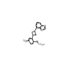 O=C(O)Oc1ccc([N+](=O)[O-])cc1C1CC(c2cccc3scnc23)C1